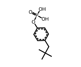 CC(C)(C)Cc1ccc(OP(=O)(O)O)cc1